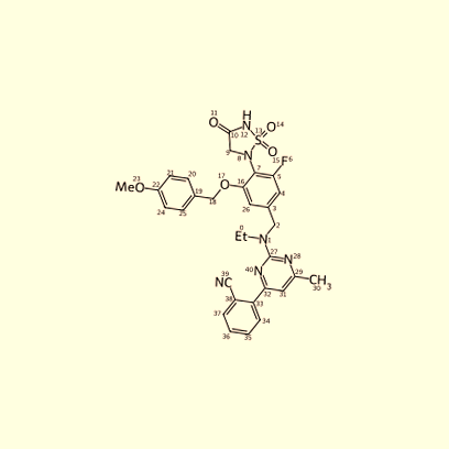 CCN(Cc1cc(F)c(N2CC(=O)NS2(=O)=O)c(OCc2ccc(OC)cc2)c1)c1nc(C)cc(-c2ccccc2C#N)n1